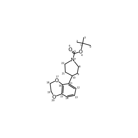 CC(C)(C)OC(=O)N1CCC(c2cccc3c2OCCO3)CC1